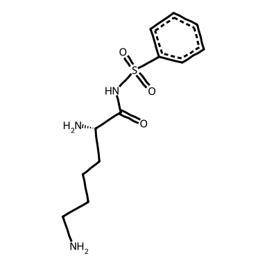 NCCCC[C@H](N)C(=O)NS(=O)(=O)c1ccccc1